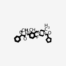 CO[C@@H](C(=O)Nc1ccc(F)c(CN2CCN(C(=O)C3CCCC3)[C@@H](C)C2)c1C)c1ccccc1